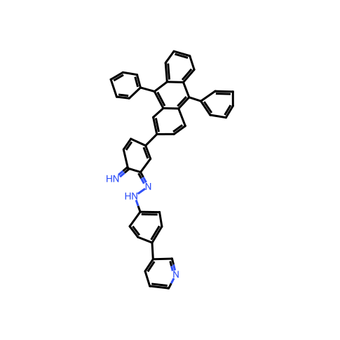 N=C1C=CC(c2ccc3c(-c4ccccc4)c4ccccc4c(-c4ccccc4)c3c2)=C/C1=N/Nc1ccc(-c2cccnc2)cc1